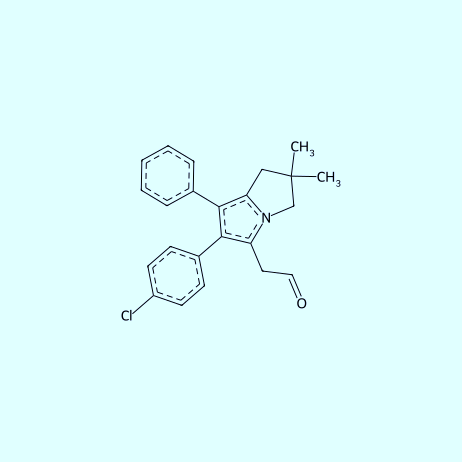 CC1(C)Cc2c(-c3ccccc3)c(-c3ccc(Cl)cc3)c(CC=O)n2C1